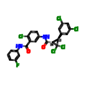 O=C(Nc1cccc(F)c1)c1cc(NC(=O)[C@@H]2[C@@H](c3cc(Cl)cc(Cl)c3)C2(Cl)Cl)ccc1Cl